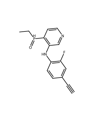 C#Cc1ccc(Nc2cnccc2[PH](=O)CC)c(F)c1